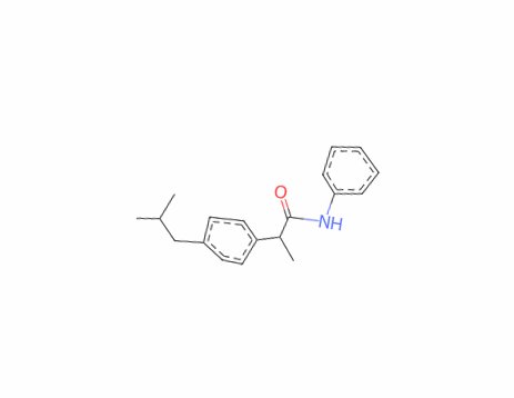 CC(C)Cc1ccc(C(C)C(=O)Nc2ccccc2)cc1